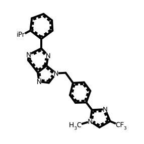 CC(C)c1ccccc1-c1ncc2ncn(Cc3ccc(-c4nc(C(F)(F)F)cn4C)cc3)c2n1